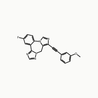 COc1cccc(C#Cc2ncn3c2Cn2ncnc2-c2cc(F)ccc2-3)c1